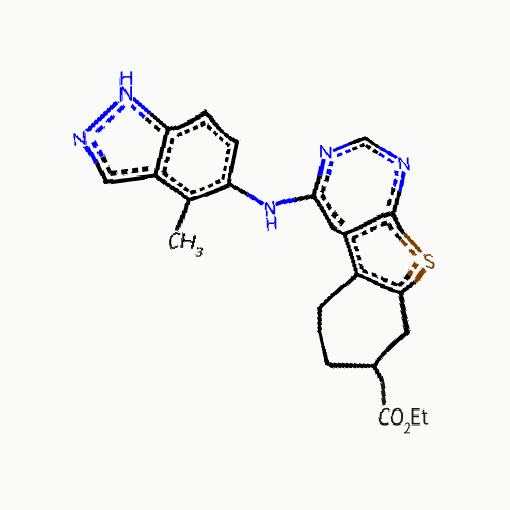 CCOC(=O)C1CCc2c(sc3ncnc(Nc4ccc5[nH]ncc5c4C)c23)C1